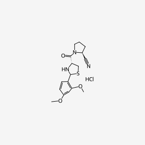 COc1ccc(C2N[C@H](C(=O)N3CCC[C@H]3C#N)CS2)c(OC)c1.Cl